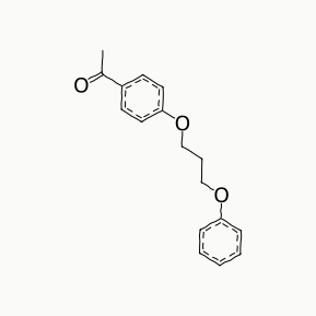 CC(=O)c1ccc(OCCCOc2ccccc2)cc1